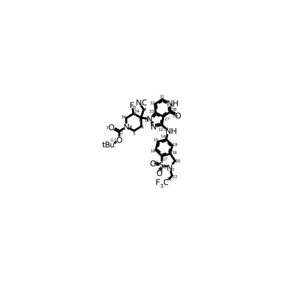 CC(C)(C)OC(=O)N1CCC(CC#N)(n2nc(Nc3ccc4c(c3)CN(CC(F)(F)F)S4(=O)=O)c3c(=O)[nH]ccc32)C(F)C1